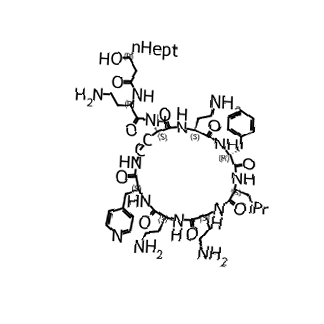 CCCCCCC[C@@H](O)CC(=O)N[C@H](CCN)C(=O)N[C@H]1CCNC(=O)[C@H](Cc2ccncc2)NC(=O)[C@H](CCN)NC(=O)[C@H](CCN)NC(=O)[C@H](CC(C)C)NC(=O)[C@@H](Cc2ccccc2)NC(=O)[C@H](CCN)NC1=O